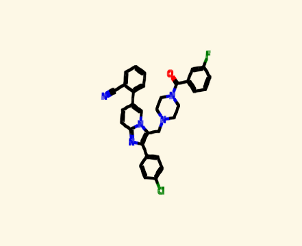 N#Cc1ccccc1-c1ccc2nc(-c3ccc(Cl)cc3)c(CN3CCN(C(=O)c4cccc(F)c4)CC3)n2c1